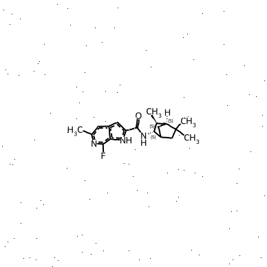 Cc1cc2cc(C(=O)N[C@H]3C4C[C@@H]([C@@H]3C)C(C)(C)C4)[nH]c2c(F)n1